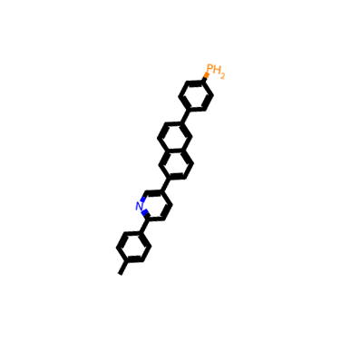 Cc1ccc(-c2ccc(-c3ccc4cc(-c5ccc(P)cc5)ccc4c3)cn2)cc1